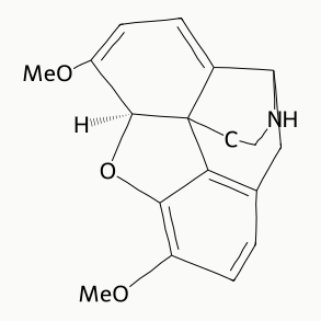 COC1=CC=C2C3Cc4ccc(OC)c5c4C2(CCN3)[C@H]1O5